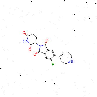 O=C1CCC(N2C(=O)c3cc(F)c(C4=CCCNCC4)cc3C2=O)C(=O)N1